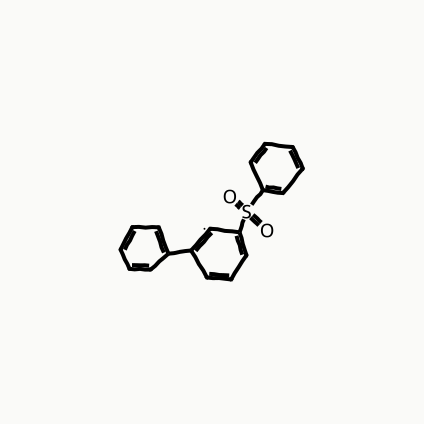 O=S(=O)(c1[c]c(-c2ccccc2)ccc1)c1ccccc1